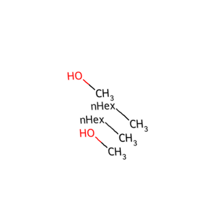 CCCCCCC.CCCCCCC.CO.CO